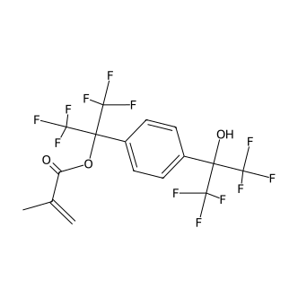 C=C(C)C(=O)OC(c1ccc(C(O)(C(F)(F)F)C(F)(F)F)cc1)(C(F)(F)F)C(F)(F)F